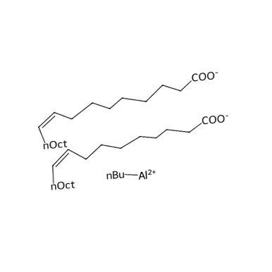 CCCCCCCC/C=C\CCCCCCCC(=O)[O-].CCCCCCCC/C=C\CCCCCCCC(=O)[O-].CCC[CH2][Al+2]